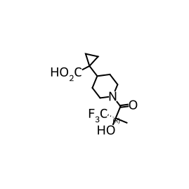 C[C@@](O)(C(=O)N1CCC(C2(C(=O)O)CC2)CC1)C(F)(F)F